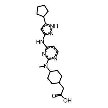 CN(c1nccc(Nc2cc(C3CCCC3)[nH]n2)n1)C1CCC(CC(=O)O)CC1